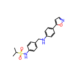 CC(C)S(=O)(=O)Nc1ccc(CNc2ccc(-c3ccno3)cc2)cc1